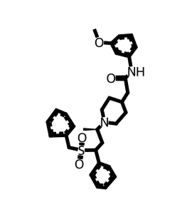 COc1cccc(NC(=O)CC2CCN([C@H](C)CC(c3ccccc3)S(=O)(=O)Cc3ccccc3)CC2)c1